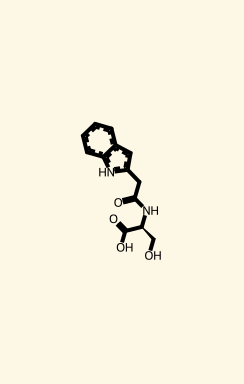 O=C(Cc1cc2ccccc2[nH]1)N[C@@H](CO)C(=O)O